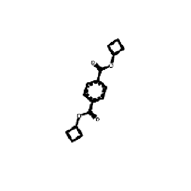 O=C(OC1CCC1)c1ccc(C(=O)OC2CCC2)cc1